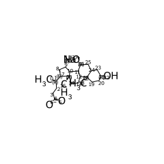 C[C@H](CCC(=O)[O-])[C@H]1CCC2C3C(CC[C@@]21C)[C@@]1(C)CC[C@@H](O)CC1C[C@H]3O.[Na+]